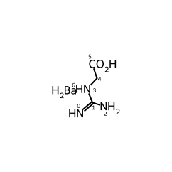 N=C(N)NCC(=O)O.[BaH2]